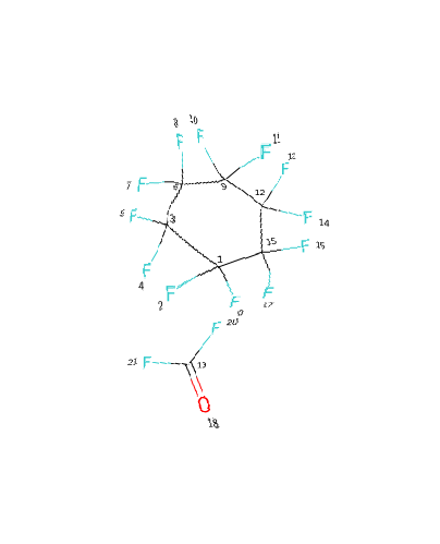 FC1(F)C(F)(F)C(F)(F)C(F)(F)C(F)(F)C1(F)F.O=C(F)F